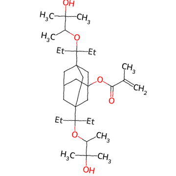 C=C(C)C(=O)OC12CC3CC(C(CC)(CC)OC(C)C(C)(C)O)(C1)CC(C(CC)(CC)OC(C)C(C)(C)O)(C3)C2